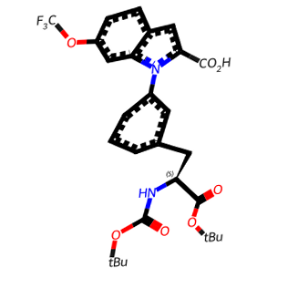 CC(C)(C)OC(=O)N[C@@H](Cc1cccc(-n2c(C(=O)O)cc3ccc(OC(F)(F)F)cc32)c1)C(=O)OC(C)(C)C